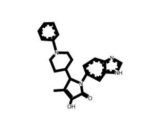 CC1=C(O)C(=O)N(c2ccc3nc[nH]c3c2)C1C1CCN(c2ccccc2)CC1